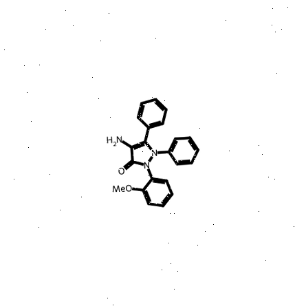 COc1ccccc1-n1c(=O)c(N)c(-c2ccccc2)n1-c1ccccc1